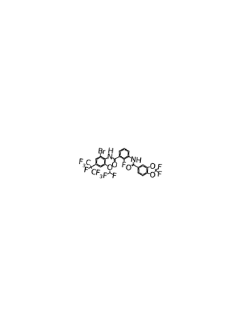 O=C(Nc1cccc(C(=O)Nc2c(Br)cc(C(F)(C(F)(F)F)C(F)(F)F)cc2OC(F)F)c1F)c1ccc2c(c1)OC(F)(F)O2